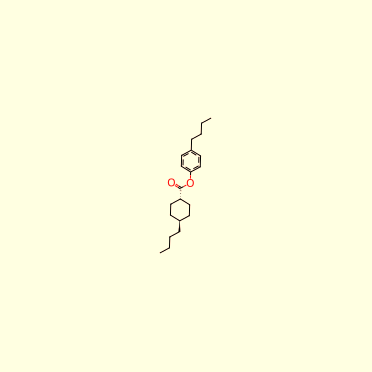 CCCCc1ccc(OC(=O)[C@H]2CC[C@H](CCCC)CC2)cc1